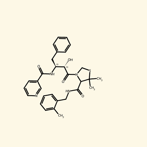 Cc1ccccc1CNC(=O)C1N(C(=O)[C@@H](O)[C@H](Cc2ccccc2)NC(=O)c2cccnc2)CSC1(C)C